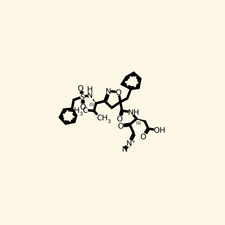 CC(C)[C@H](NS(=O)(=O)Cc1ccccc1)C1=NOC(Cc2ccccc2)(C(=O)N[C@@H](CC(=O)O)C(=O)C=[N+]=[N-])C1